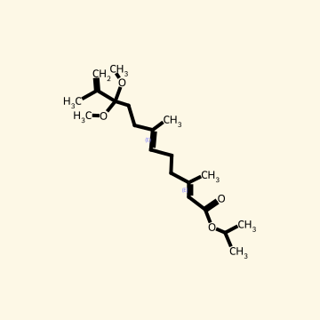 C=C(C)C(CC/C(C)=C/CC/C(C)=C/C(=O)OC(C)C)(OC)OC